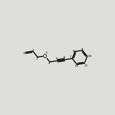 C=CCOCC#Cc1ccccc1